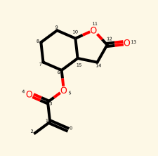 C=C(C)C(=O)OC1CCCC2OC(=O)CC21